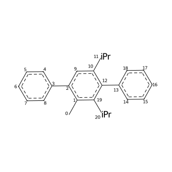 Cc1c(-c2ccccc2)cc(C(C)C)c(-c2ccccc2)c1C(C)C